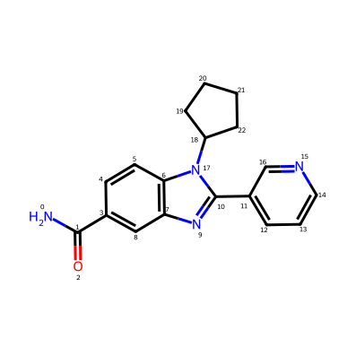 NC(=O)c1ccc2c(c1)nc(-c1cccnc1)n2C1CCCC1